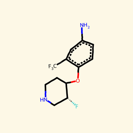 Nc1ccc(OC2CCNC[C@H]2F)c(C(F)(F)F)c1